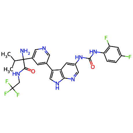 CC(C)C(N)(C(=O)NCC(F)(F)F)c1cncc(-c2c[nH]c3ncc(NC(=O)Nc4ccc(F)cc4F)cc23)c1